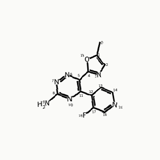 Cc1cnc(-c2nnc(N)nc2-c2ccncc2F)o1